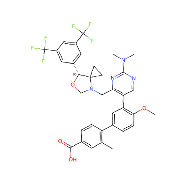 COc1ccc(-c2ccc(C(=O)O)cc2C)cc1-c1cnc(N(C)C)nc1CN1CO[C@H](c2cc(C(F)(F)F)cc(C(F)(F)F)c2)C12CC2